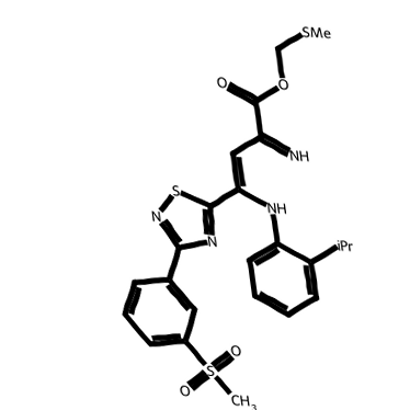 CSCOC(=O)C(=N)/C=C(\Nc1ccccc1C(C)C)c1nc(-c2cccc(S(C)(=O)=O)c2)ns1